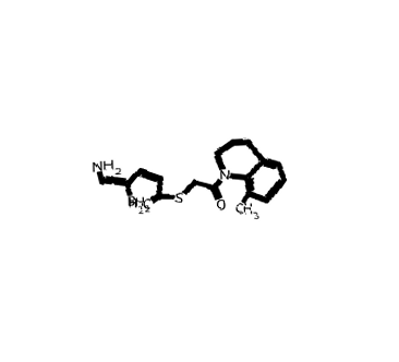 BC(/C=C\C(=C)SCC(=O)N1CCCc2cccc(C)c21)=C/N